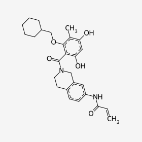 C=CC(=O)Nc1ccc2c(c1)CN(C(=O)c1c(O)cc(O)c(C)c1OCC1CCCCC1)CC2